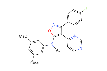 COc1cc(OC)cc(N(C(C)=O)c2onc(-c3ccc(F)cc3)c2-c2ccncn2)c1